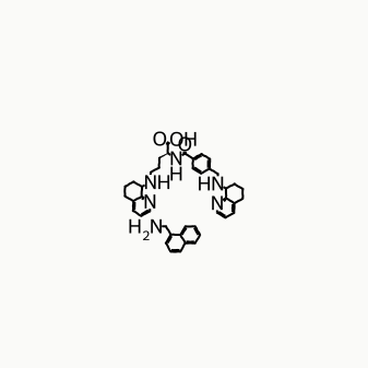 NCc1cccc2ccccc12.O=C(N[C@@H](CCCNC1CCCc2cccnc21)C(=O)O)c1ccc(CNC2CCCc3cccnc32)cc1